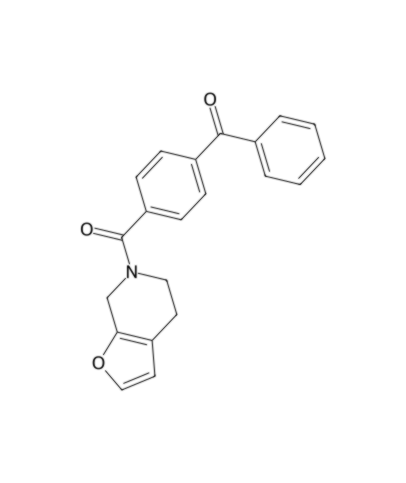 O=C(c1ccccc1)c1ccc(C(=O)N2CCc3ccoc3C2)cc1